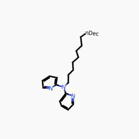 CCCCCCCCCCCCCCCCCCN(c1ccccn1)c1ccccn1